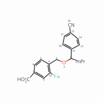 CCCC(OCc1ccc(C(=O)O)cc1F)c1ccc(C#N)cc1